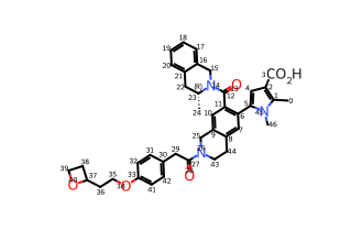 Cc1c(C(=O)O)cc(-c2cc3c(cc2C(=O)N2Cc4ccccc4C[C@H]2C)CN(C(=O)Cc2ccc(OCCC4CCO4)cc2)CC3)n1C